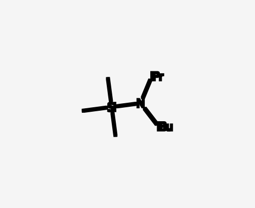 CCC(C)N(C(C)C)[Si](C)(C)C